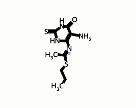 CCCS/C(C)=N/c1[nH]c(=S)[nH]c(=O)c1N